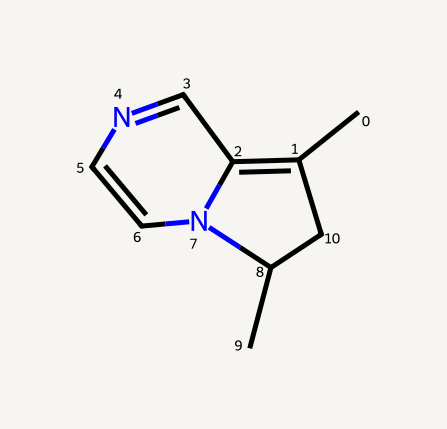 CC1=C2C=NC=CN2C(C)C1